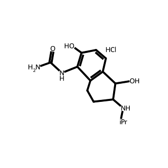 CC(C)NC1CCc2c(ccc(O)c2NC(N)=O)C1O.Cl